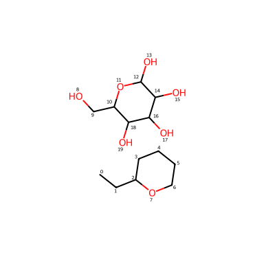 CCC1CCCCO1.OCC1OC(O)C(O)C(O)C1O